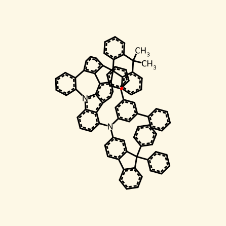 CC1(C)c2ccccc2C2(c3ccccc31)c1cccc3c1-c1c2ccc2c4c(N(c5cc(-c6ccccc6)cc(-c6ccccc6)c5)c5ccc6c(c5)C(c5ccccc5)(c5ccccc5)c5ccccc5-6)cccc4n(c12)-c1ccccc1-3